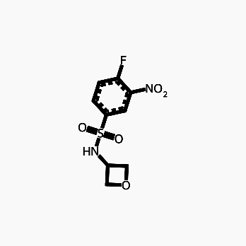 O=[N+]([O-])c1cc(S(=O)(=O)NC2COC2)ccc1F